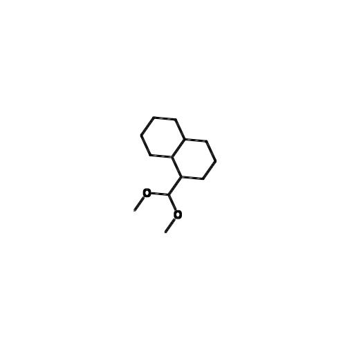 COC(OC)C1CCCC2CCCCC21